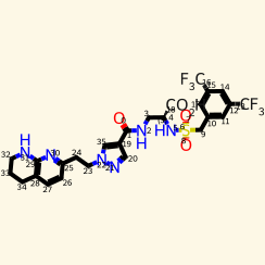 O=C(NC[C@H](NS(=O)(=O)Cc1cc(C(F)(F)F)cc(C(F)(F)F)c1)C(=O)O)c1cnn(CCc2ccc3c(n2)NCCC3)c1